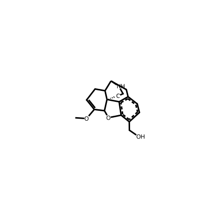 COC1=CCC2C3Cc4ccc(CO)c5c4[C@@]2(CCN3)C1O5